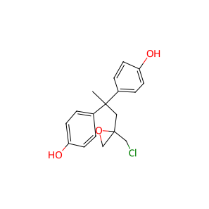 CC(CC1(CCl)CO1)(c1ccc(O)cc1)c1ccc(O)cc1